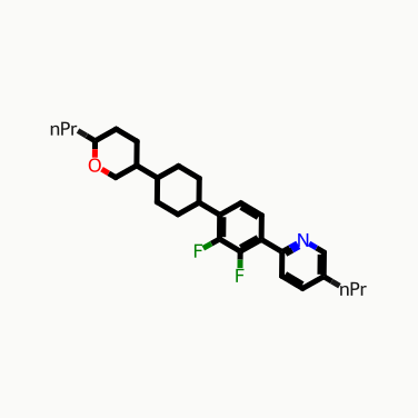 CCCc1ccc(-c2ccc(C3CCC(C4CCC(CCC)OC4)CC3)c(F)c2F)nc1